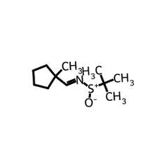 CC1(/C=N/[S+]([O-])C(C)(C)C)CCCC1